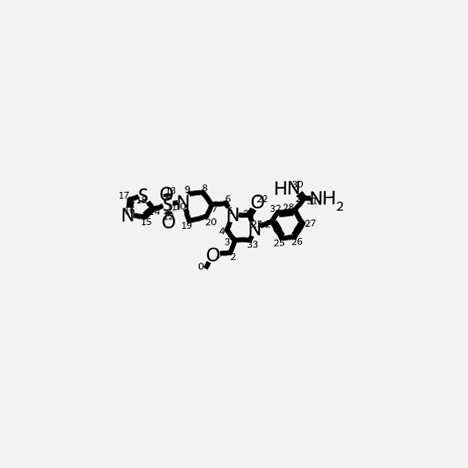 COCC1CN(CC2CCN(S(=O)(=O)c3cncs3)CC2)C(=O)N(c2cccc(C(=N)N)c2)C1